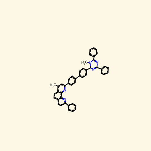 Cc1cc(-c2ccc(-c3ccc(C4N=C(c5ccccc5)N=C(c5ccccc5)N4C)cc3)cc2)nc2c1ccc1ccc(-c3ccccc3)nc12